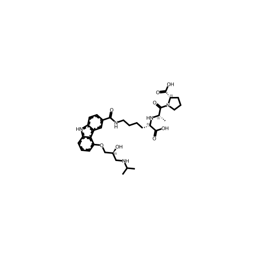 CC(C)NC[C@H](O)COc1cccc2[nH]c3ccc(C(=O)NCCCC[C@H](N[C@@H](C)C(=O)N4CCC[C@H]4C(=O)O)C(=O)O)cc3c12